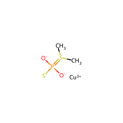 CS(C)=P([O-])([O-])[S-].[Cu+3]